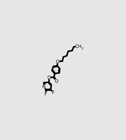 CCCCCCCOc1ccc(C(=O)Oc2cnc(F)c(F)c2)cc1